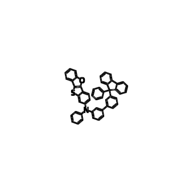 c1ccc(N(c2cccc(-c3cccc(C4(c5ccccc5)c5ccccc5-c5ccccc54)c3)c2)c2ccc3c(c2)sc2c4ccccc4oc32)cc1